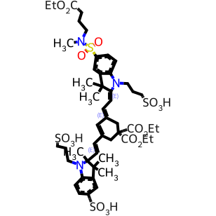 CCOC(=O)CCCN(C)S(=O)(=O)c1ccc2c(c1)C(C)(C)/C(=C\C=C1C=C(/C=C/C3(C)N(CCCS(=O)(=O)O)c4ccc(S(=O)(=O)O)cc4C3(C)C)CC(C(=O)OCC)(C(=O)OCC)C\1)N2CCCS(=O)(=O)O